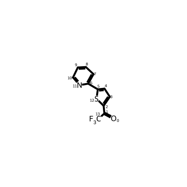 O=C(c1ccc(-c2ccccn2)s1)C(F)(F)F